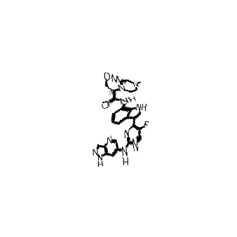 COC[C@H](C(=O)Nc1cccc2c(-c3nc(Nc4cnc5cn[nH]c5c4)ncc3F)c[nH]c12)N1CCN(C)CC1